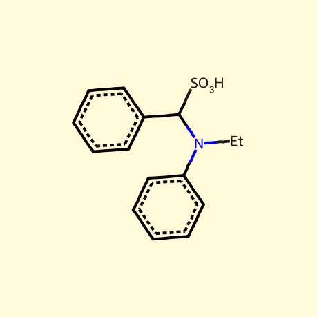 CCN(c1ccccc1)C(c1ccccc1)S(=O)(=O)O